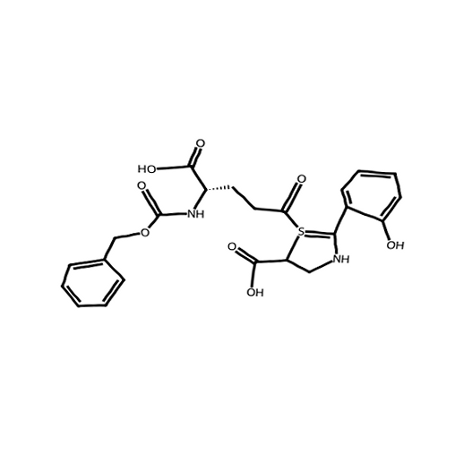 O=C(N[C@@H](CCC(=O)S1=C(c2ccccc2O)NCC1C(=O)O)C(=O)O)OCc1ccccc1